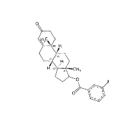 C[C@]12CCC(=O)C=C1CC[C@@H]1[C@H]2CC[C@]2(C)C(OC(=O)c3cccc(F)c3)CC[C@@H]12